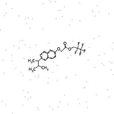 CC(C)C(C)c1ccc2cc(OCC(=O)OCC(F)(F)C(F)(F)F)ccc2c1